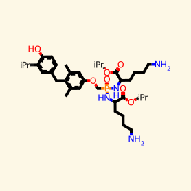 Cc1cc(OCP(=O)(NC(CCCCN)C(=O)OC(C)C)NC(CCCCN)C(=O)OC(C)C)cc(C)c1Cc1ccc(O)c(C(C)C)c1